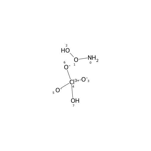 NOO.[O-][Cl+3]([O-])([O-])O